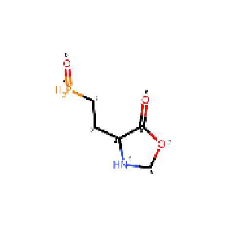 O=[PH2]CCC1NCOC1=O